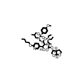 CCCCOc1ccc(C(O)[C@H](NC(=O)O[C@H]2CO[C@H]3OCC[C@H]32)[C@@H](CN(CC(C)C)S(=O)(=O)c2ccc(OC)cc2)O[Si](CC)(CC)CC)cn1